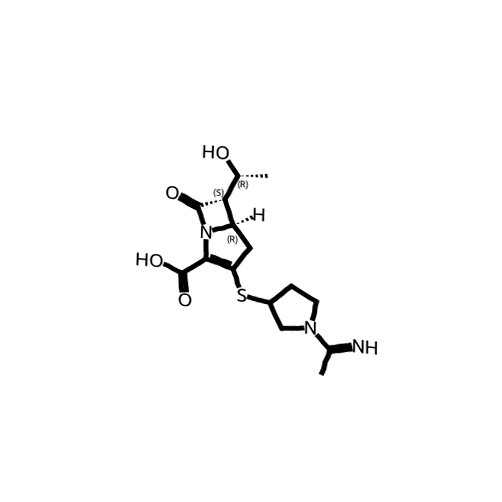 CC(=N)N1CCC(SC2=C(C(=O)O)N3C(=O)[C@H]([C@@H](C)O)[C@H]3C2)C1